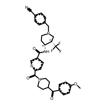 COc1ccc(C(=O)C2CCN(C(=O)c3ccc(C(=O)N[C@@H]4CCN(Cc5ccc(C#N)cc5)C[C@@H]4C(F)(F)F)cn3)CC2)cc1